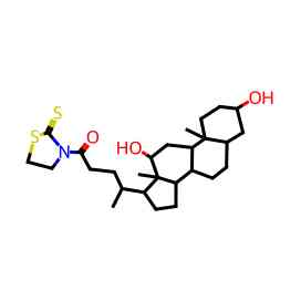 CC(CCC(=O)N1CCSC1=S)C1CCC2C3CCC4CC(O)CCC4(C)C3CC(O)C12C